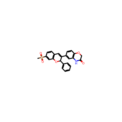 CS(=O)(=O)c1ccc2c(c1)OC(c1ccccc1)C(c1ccc3c(c1)NC(=O)CO3)=C2